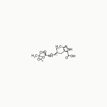 Cc1n[nH]c(C(=O)O)c1C/C(F)=C/CNC(=O)OC(C)(C)C